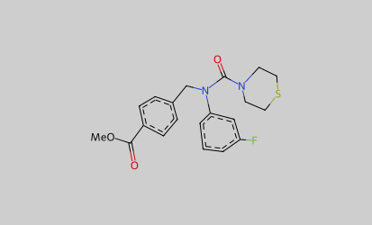 COC(=O)c1ccc(CN(C(=O)N2CCSCC2)c2cccc(F)c2)cc1